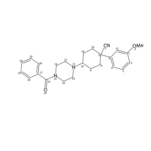 COc1cccc(C2(C#N)CCC(N3CCN(C(=O)c4ccccc4)CC3)CC2)c1